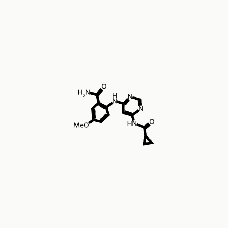 COc1ccc(Nc2cc(NC(=O)C3CC3)ncn2)c(C(N)=O)c1